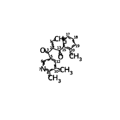 C/C=C(/C(=O)c1cnc(C)c(C)c1)C(=O)c1ccccc1C